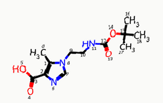 Cc1c(C(=O)O)ncn1CCNC(=O)OC(C)(C)C